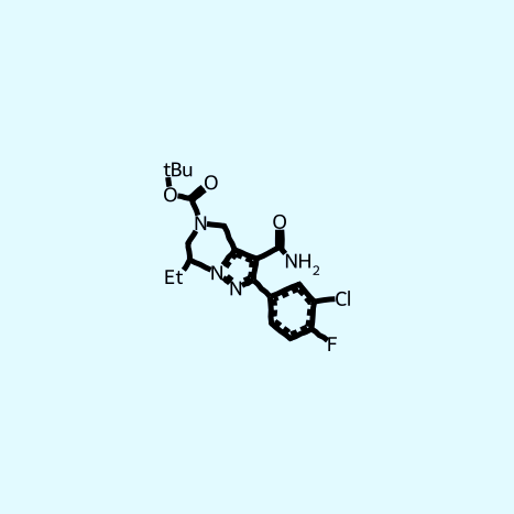 CCC1CN(C(=O)OC(C)(C)C)Cc2c(C(N)=O)c(-c3ccc(F)c(Cl)c3)nn21